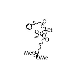 C=CC(=O)OCC(CC)(COC(=O)CCSCCC[Si](C)(OC)OC)COC(=O)CCSc1ccccc1